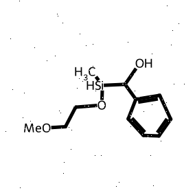 COCCO[SiH](C)C(O)c1ccccc1